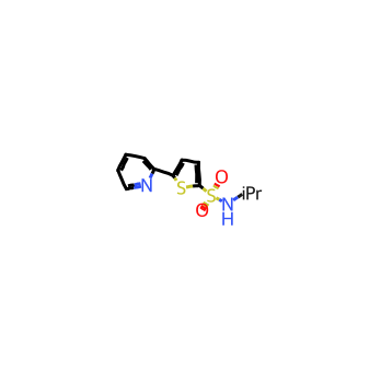 CC(C)NS(=O)(=O)c1ccc(-c2ccccn2)s1